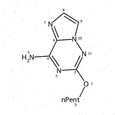 CCCCCOc1nc(N)c2nccn2n1